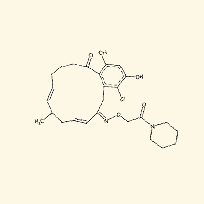 CC1/C=C/CCCC(=O)c2c(O)cc(O)c(Cl)c2CC(=N\OCC(=O)N2CCCCC2)/C=C/C1